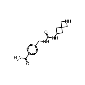 NC(=O)c1ccc(CNC(=O)NC2CC3(CNC3)C2)cc1